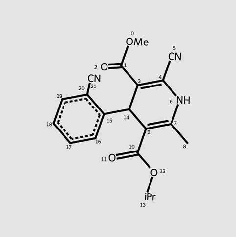 COC(=O)C1=C(C#N)NC(C)=C(C(=O)OC(C)C)C1c1ccccc1C#N